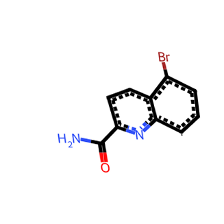 NC(=O)c1ccc2c(Br)cc[c]c2n1